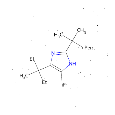 CCCCCC(C)(C)c1nc(C(C)(CC)CC)c(C(C)C)[nH]1